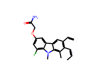 C=Cc1cc2c3cc(OCC(N)=O)cc(F)c3n(C)c2c(C)c1/C=C\C